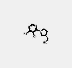 OC[C@@H]1CCN(c2nccc(S)c2Cl)C1